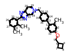 Cc1cc(OCC2CCC2)ccc1-c1ccc(Cn2ccc3nc(-c4cccc(C)c4C)nc-3c2)cc1